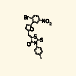 Cc1ccc(N2C(=O)/C(=C/c3ccc(-c4cc([N+](=O)[O-])ccc4Br)o3)SC2=S)cc1